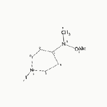 CON(C)C1CCN(I)CC1